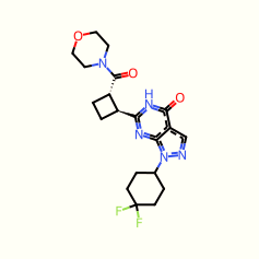 O=C([C@H]1CC[C@@H]1c1nc2c(cnn2C2CCC(F)(F)CC2)c(=O)[nH]1)N1CCOCC1